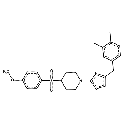 Cc1ccc(Cc2csc(N3CCC(S(=O)(=O)c4ccc(OC(F)(F)F)cc4)CC3)n2)cc1C